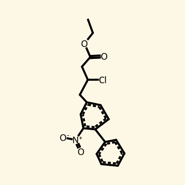 CCOC(=O)CC(Cl)Cc1ccc(-c2ccccc2)c([N+](=O)[O-])c1